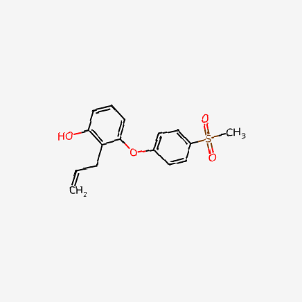 C=CCc1c(O)cccc1Oc1ccc(S(C)(=O)=O)cc1